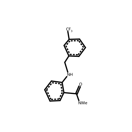 CNC(=O)c1ccccc1NCc1cccc(C(F)(F)F)c1